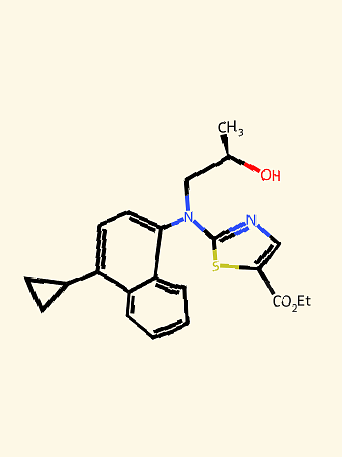 CCOC(=O)c1cnc(N(C[C@@H](C)O)c2ccc(C3CC3)c3ccccc23)s1